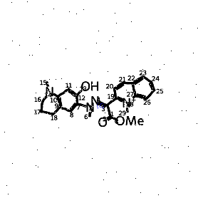 COC(=O)/C(=N\N(C)c1cc2c(cc1O)N(C)CCC2)c1ccc2ccccc2[n+]1C